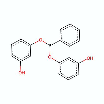 Oc1cccc(OB(Oc2cccc(O)c2)c2ccccc2)c1